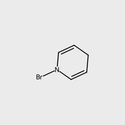 BrN1C=CCC=C1